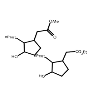 CCCCCC1C(O)CCC1CC(=O)OC.CCCCCC1C(O)CCC1CC(=O)OCC